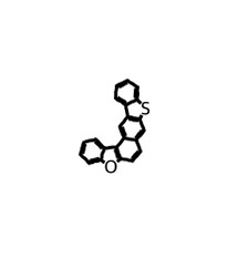 c1ccc2c(c1)oc1ccc3cc4sc5ccccc5c4cc3c12